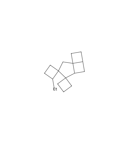 CCC1CCC12CC13CCC1CC3C21CCC1